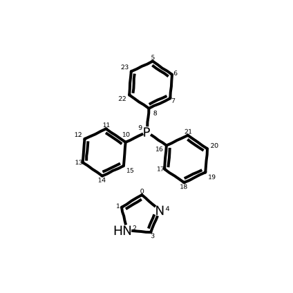 c1c[nH]cn1.c1ccc(P(c2ccccc2)c2ccccc2)cc1